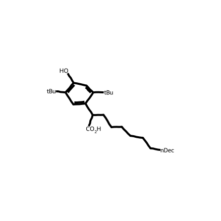 CCCCCCCCCCCCCCCCC(C(=O)O)c1cc(C(C)(C)C)c(O)cc1C(C)(C)C